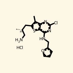 Cc1c(C[C@@H](C)CN)sc2c(NCc3ccco3)nc(Cl)nc12.Cl